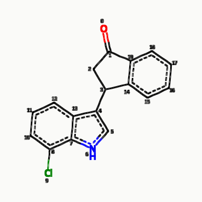 O=C1CC(c2c[nH]c3c(Cl)cccc23)c2ccccc21